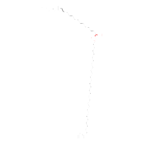 CCCCCCCCC=CCCCCCCCCCCCC(=O)OCCCCCCCCCCCCCCCCCCCCCCCCCCCCCC(C)C